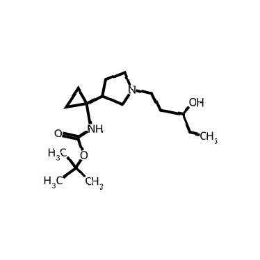 CCC(O)CCN1CCC(C2(NC(=O)OC(C)(C)C)CC2)C1